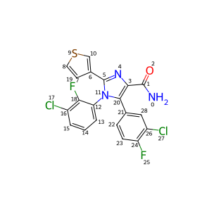 NC(=O)c1nc(-c2ccsc2)n(-c2cccc(Cl)c2F)c1-c1ccc(F)c(Cl)c1